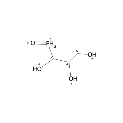 O=[PH2]C(O)C(O)CO